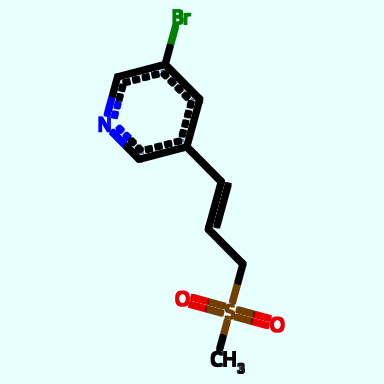 CS(=O)(=O)CC=Cc1cncc(Br)c1